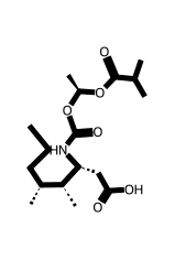 CCC[C@@H](C)[C@@H](C)[C@@H](CC(=O)O)NC(=O)O[C@@H](C)OC(=O)C(C)C